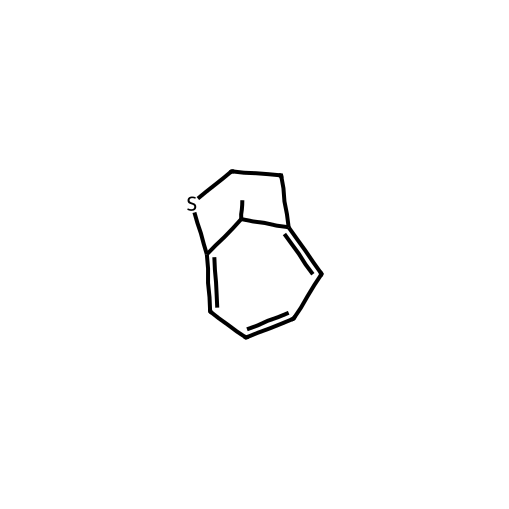 CC1C2=CC=CC=C1SCC2